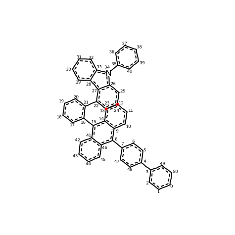 c1ccc(-c2ccc(-c3c4ccccc4c(-c4ccccc4-c4cccc5c4c4ccccc4n5-c4ccccc4)c4ccccc34)cc2)cc1